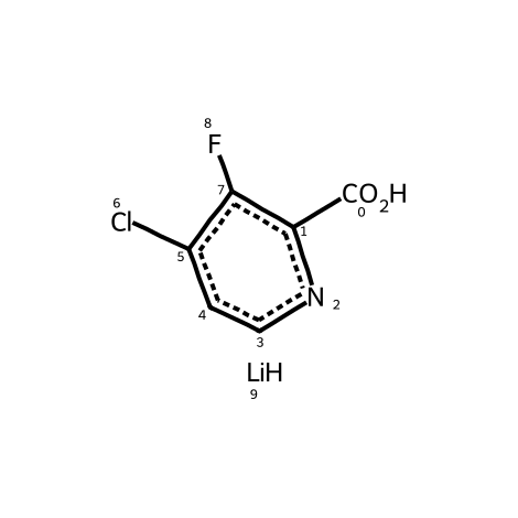 O=C(O)c1nccc(Cl)c1F.[LiH]